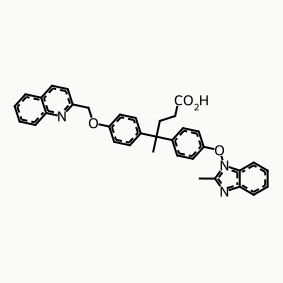 Cc1nc2ccccc2n1Oc1ccc(C(C)(CCC(=O)O)c2ccc(OCc3ccc4ccccc4n3)cc2)cc1